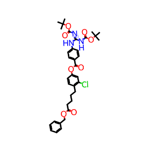 CC(C)(C)OC(=O)/N=C(/NC(=O)OC(C)(C)C)Nc1ccc(C(=O)Oc2ccc(CCCCC(=O)OCc3ccccc3)c(Cl)c2)cc1